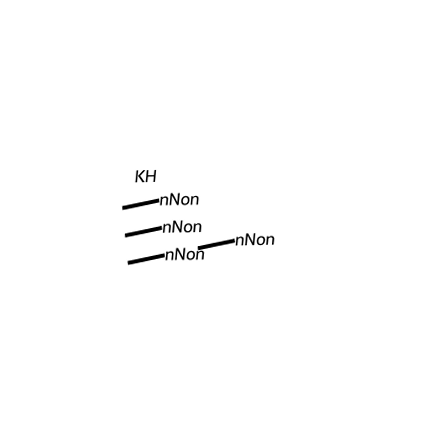 CCCCCCCCCC.CCCCCCCCCC.CCCCCCCCCC.CCCCCCCCCC.[KH]